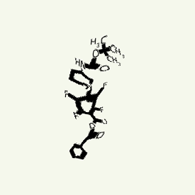 CC(C)(C)OC(=O)N[C@H]1CCN(c2c(F)c(F)c(C(=O)OC(=O)c3ccccc3)c(F)c2F)C1